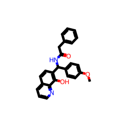 COc1ccc(C(NC(=O)Cc2ccccc2)c2ccc3cccnc3c2O)cc1